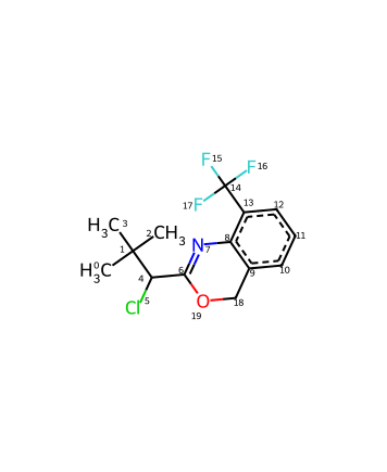 CC(C)(C)C(Cl)C1=Nc2c(cccc2C(F)(F)F)CO1